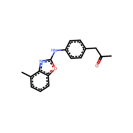 CC(=O)Cc1ccc(Nc2nc3c(C)cccc3o2)cc1